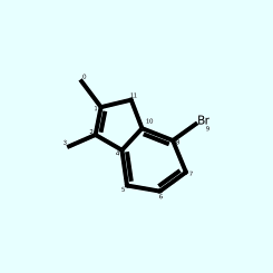 CC1=C(C)c2cccc(Br)c2C1